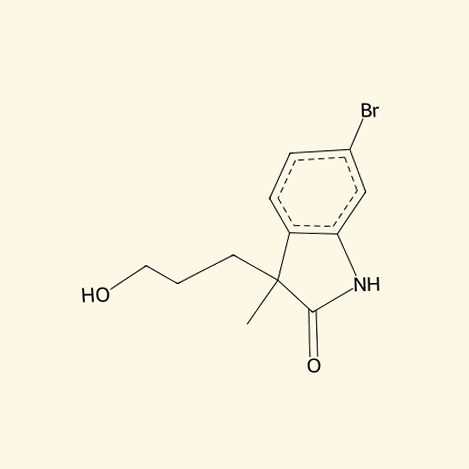 CC1(CCCO)C(=O)Nc2cc(Br)ccc21